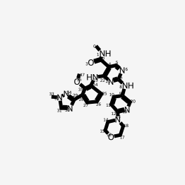 CNC(=O)c1cnc(Nc2ccc(N3CCOCC3)nc2)nc1Nc1cccc(-c2ncn(C)n2)c1OC